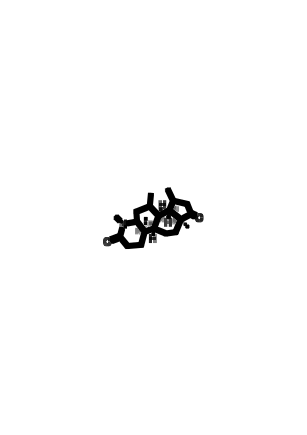 CC1CC2N(C)C(=O)CC[C@]2(C)[C@@H]2CC[C@]3(C)C(=O)CC(C)[C@H]3[C@H]12